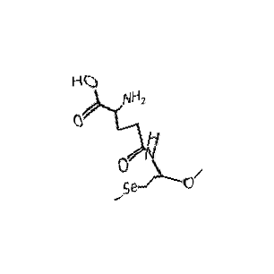 COC(C[Se]C)NC(=O)CCC(N)C(=O)O